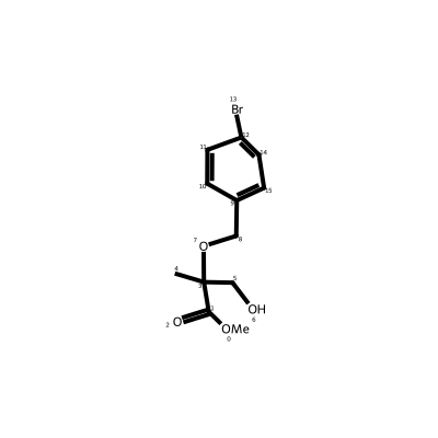 COC(=O)C(C)(CO)OCc1ccc(Br)cc1